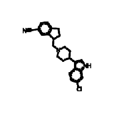 N#Cc1ccc2c(c1)C(CN1CCC(c3c[nH]c4cc(Cl)ccc34)CC1)CC2